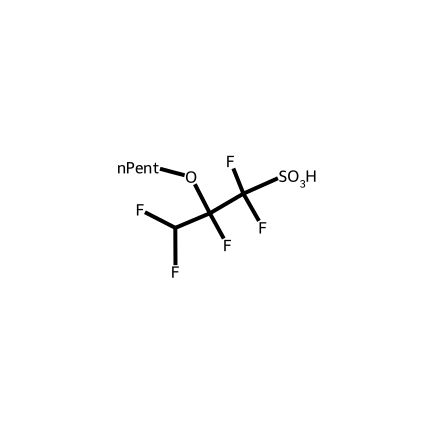 CCCCCOC(F)(C(F)F)C(F)(F)S(=O)(=O)O